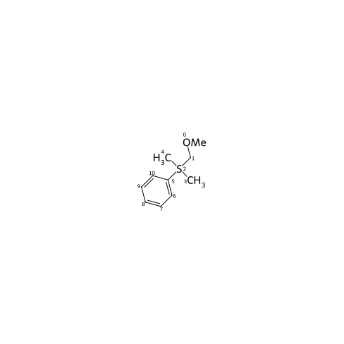 COCS(C)(C)c1ccccc1